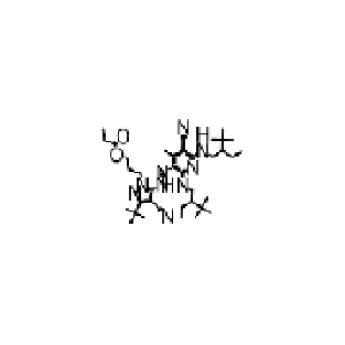 C=CC(=O)OCCCn1nc(C(C)(C)C)c(C#N)c1N=Nc1c(NCC(CC)C(C)(C)C)nc(NCC(CC)C(C)(C)C)c(C#N)c1C